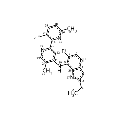 CCn1cc2ncc(F)c(Nc3cc(-c4nc(C)ccc4F)ncc3C)c2n1